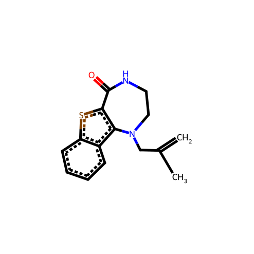 C=C(C)CN1CCNC(=O)c2sc3ccccc3c21